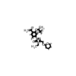 CCn1c(COC2CCCCO2)nn(-c2cc(O[C@@H](C)C(F)(F)F)c(C(N)=O)cc2F)c1=O